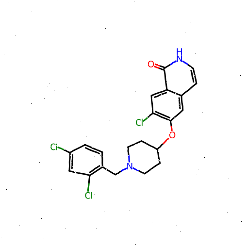 O=c1[nH]ccc2cc(OC3CCN(Cc4ccc(Cl)cc4Cl)CC3)c(Cl)cc12